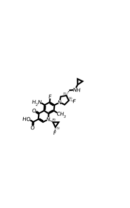 Cc1c(N2C[C@H](CNC3CC3)[C@H](F)C2)c(F)c(N)c2c(=O)c(C(=O)O)cn([C@@H]3C[C@@H]3F)c12